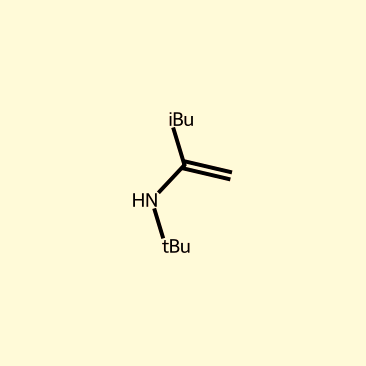 C=C(NC(C)(C)C)C(C)CC